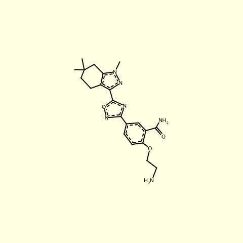 Cn1nc(-c2nc(-c3ccc(OCCN)c(C(N)=O)c3)no2)c2c1CC(C)(C)CC2